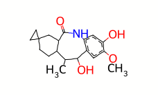 COc1cc2c(cc1O)NC(=O)C1CC3(CCC1C(C)C2O)CC3